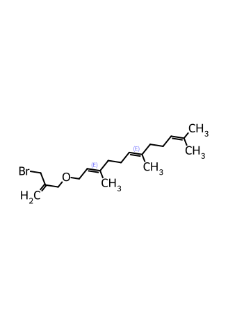 C=C(CBr)COC/C=C(\C)CC/C=C(\C)CCC=C(C)C